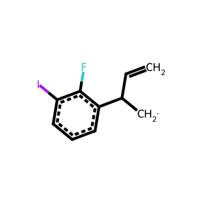 [CH2]C(C=C)c1cccc(I)c1F